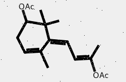 CC(=O)OC(C)=CC=C1C(C)=CCC(OC(C)=O)C1(C)C